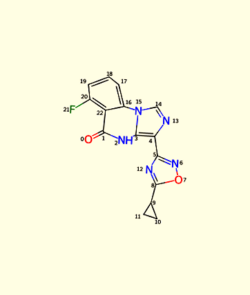 O=c1[nH]c2c(-c3noc(C4CC4)n3)ncn2c2cccc(F)c12